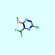 COc1ncc(Br)nc1C(F)F